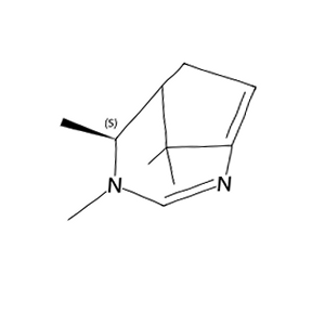 C[C@H]1C2CC=C(N=CN1C)C2(C)C